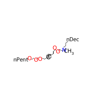 CCCCCCCCCCCCCCN(C)CCOC(=O)C=CC12CCC(CCOCOCCOCCCCC)(CC1)CC2